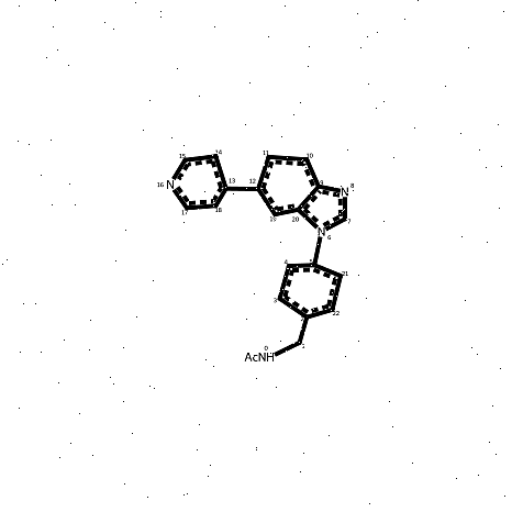 CC(=O)NCc1ccc(-n2cnc3ccc(-c4ccncc4)cc32)cc1